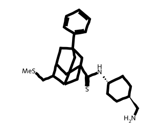 CSCC1C2CC3(C(=S)N[C@H]4CC[C@H](CN)CC4)CC1CC(c1ccccc1)(C2)C3